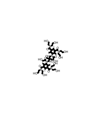 O=C(c1c(I)c(C(=O)N(CCO)CCO)c(I)c(N(CC(CO)(CO)CN(C(=O)CO)c2c(I)c(C(=O)N(CCO)CCO)c(I)c(C(=O)N(CCO)CCO)c2I)C(=O)CO)c1I)N(CCO)CCO